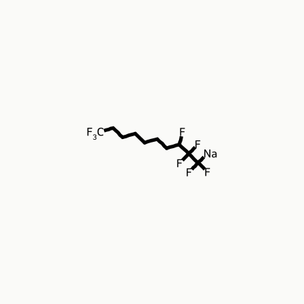 FC(CCCCCCC(F)(F)F)C(F)(F)[C](F)(F)[Na]